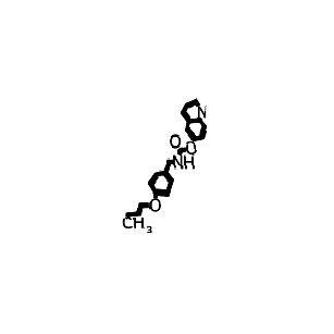 CCCCOc1ccc(CNC(=O)Oc2ccc3ncccc3c2)cc1